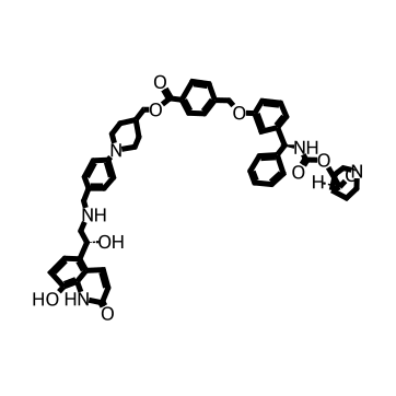 O=C(N[C@@H](c1ccccc1)c1cccc(OCc2ccc(C(=O)OCC3CCN(c4ccc(CNC[C@H](O)c5ccc(O)c6[nH]c(=O)ccc56)cc4)CC3)cc2)c1)O[C@H]1CN2CCC1CC2